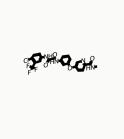 CNC(=O)c1ccc(Oc2cccc(NC(=O)C(=O)Nc3ccc(Cl)c(C(F)(F)F)c3)c2)cn1